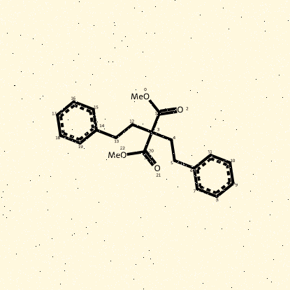 COC(=O)C(CCc1ccccc1)(CCc1ccccc1)C(=O)OC